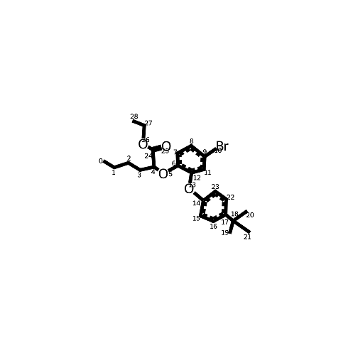 CCCCC(Oc1ccc(Br)cc1Oc1ccc(C(C)(C)C)cc1)C(=O)OCC